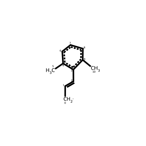 [CH2]/C=C/c1c(C)cccc1C